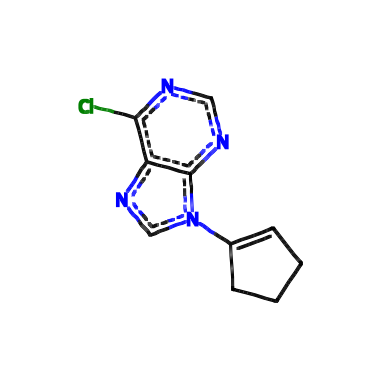 Clc1ncnc2c1ncn2C1=CCCC1